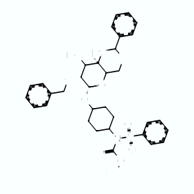 COC(=O)N(C1CCC(O[C@@H]2OC3COC(c4ccccc4)O[C@H]3C(C)[C@H]2OCc2ccccc2)CC1)S(=O)(=O)c1ccccc1